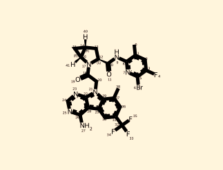 Cc1cc(F)c(Br)nc1NC(=O)[C@@H]1C[C@H]2C[C@H]2N1C(=O)Cn1c2ncnc(N)c2c2cc(C(F)(F)F)cc(C)c21